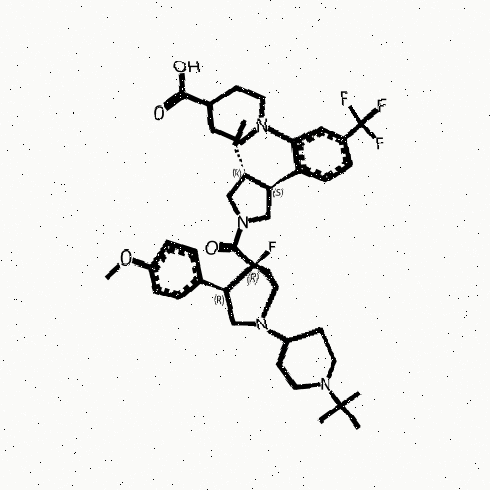 CC[C@H]1CN(C(=O)[C@]2(F)CN(C3CCN(C(C)(C)C)CC3)C[C@H]2c2ccc(OC)cc2)C[C@@H]1c1ccc(C(F)(F)F)cc1N1CCC(C(=O)O)CC1